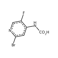 O=C(O)Nc1cc(Br)ncc1F